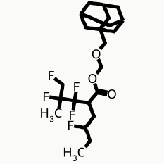 CCC(F)CC(C(=O)OCOCC12CC3CC(CC(C3)C1)C2)C(F)(F)C(C)(F)CF